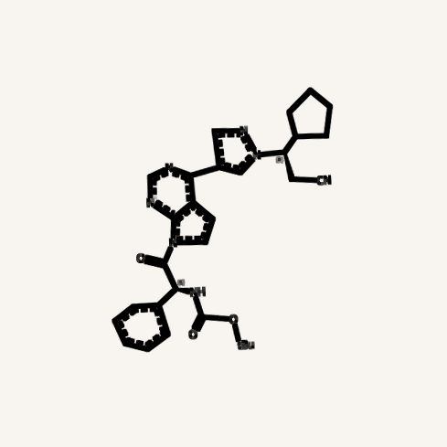 CC(C)(C)OC(=O)N[C@H](C(=O)n1ccc2c(-c3cnn([C@H](CC#N)C4CCCC4)c3)ncnc21)c1ccccc1